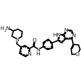 NC1CCCN(Cc2ccnc(C(=O)Nc3ccc(-c4cc5c(C6=CCOCC6)ncnc5[nH]4)cc3)c2)C1